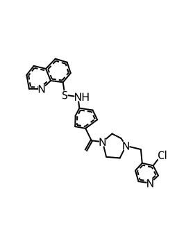 C=C(c1ccc(NSc2cccc3cccnc23)cc1)N1CCN(Cc2ccncc2Cl)CC1